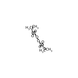 CC(C)CSC1CC(=O)N(CCOCCOCCN2C(=O)CC(SCC(C)C)C2=O)C1=O